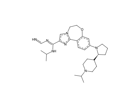 CC(C)N/C(=N\C=N)c1cn2c(n1)-c1ccc(N3CCC[C@H]3C3CCN(C(C)C)CC3)cc1OCC2